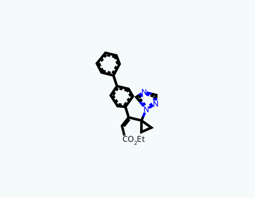 CCOC(=O)C=C(c1ccc(-c2ccccc2)cc1)C1(n2cncn2)CC1